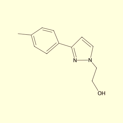 Cc1ccc(-c2ccn(CCO)n2)cc1